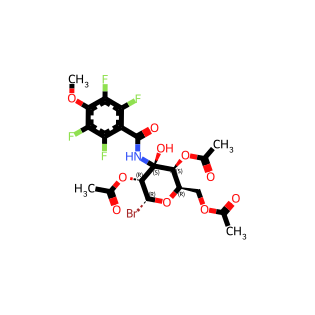 COc1c(F)c(F)c(C(=O)N[C@@]2(O)[C@@H](OC(C)=O)[C@@H](Br)O[C@H](COC(C)=O)[C@@H]2OC(C)=O)c(F)c1F